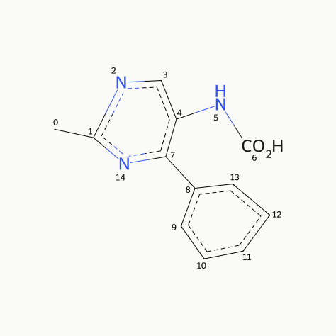 Cc1ncc(NC(=O)O)c(-c2ccccc2)n1